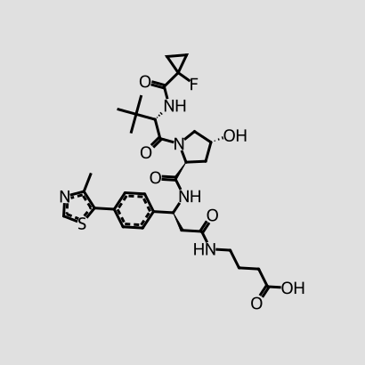 Cc1ncsc1-c1ccc([C@H](CC(=O)NCCCC(=O)O)NC(=O)[C@@H]2C[C@@H](O)CN2C(=O)[C@@H](NC(=O)C2(F)CC2)C(C)(C)C)cc1